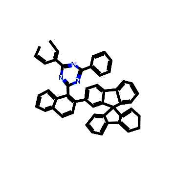 C/C=C\C(=C/C)c1nc(-c2ccccc2)nc(-c2c(-c3ccc4c(c3)C3(C5=CCCC=C5c5ccccc53)c3ccccc3-4)ccc3ccccc23)n1